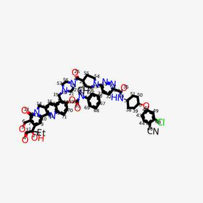 CC[C@@]1(O)C(=O)OCc2c1cc1n(c2=O)Cc2cc3c(CN4CCN(C(=O)C5CCN(c6ccc(C(=O)N[C@H]7CC[C@H](Oc8ccc(C#N)c(Cl)c8)CC7)nn6)CC5)CC4)c(OC(=O)N(C)c4ccccc4)ccc3nc2-1